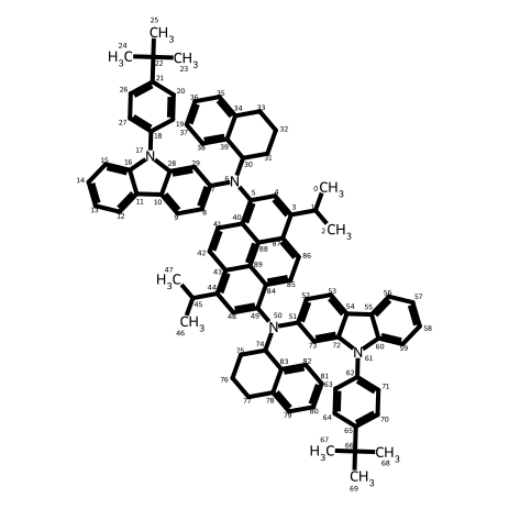 CC(C)c1cc(N(c2ccc3c4ccccc4n(-c4ccc(C(C)(C)C)cc4)c3c2)C2CCCc3ccccc32)c2ccc3c(C(C)C)cc(N(c4ccc5c6ccccc6n(-c6ccc(C(C)(C)C)cc6)c5c4)C4CCCc5ccccc54)c4ccc1c2c34